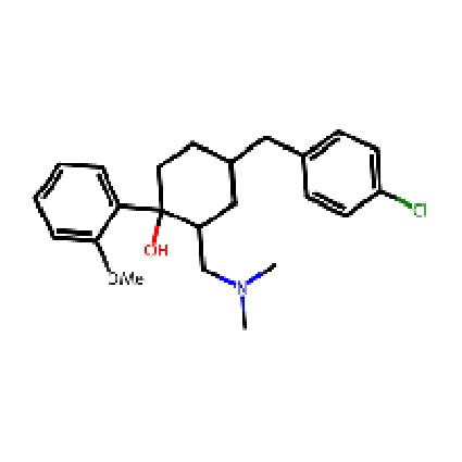 COc1ccccc1C1(O)CCC(Cc2ccc(Cl)cc2)CC1CN(C)C